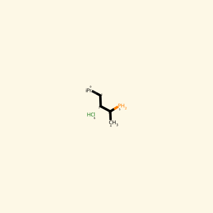 CC(C)CCC(C)P.Cl